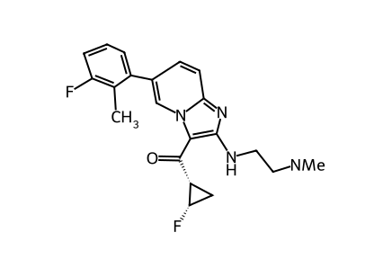 CNCCNc1nc2ccc(-c3cccc(F)c3C)cn2c1C(=O)[C@@H]1C[C@@H]1F